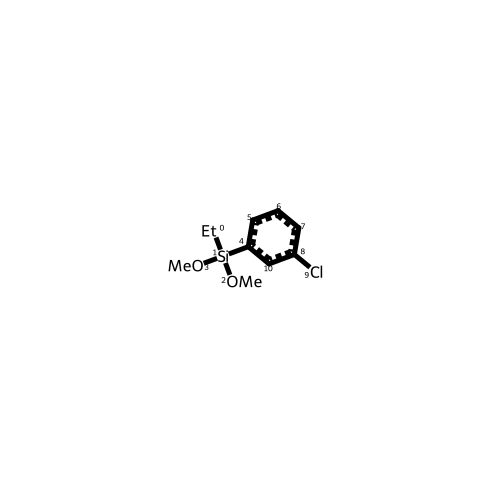 CC[Si](OC)(OC)c1cccc(Cl)c1